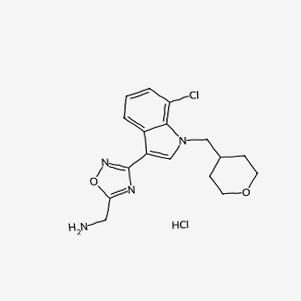 Cl.NCc1nc(-c2cn(CC3CCOCC3)c3c(Cl)cccc23)no1